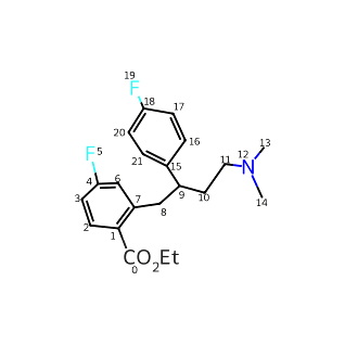 CCOC(=O)c1ccc(F)cc1CC(CCN(C)C)c1ccc(F)cc1